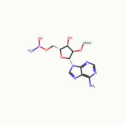 CCCCCO[C@@H]1[C@H](O)[C@@H](COP(N)O)O[C@H]1n1cnc2c(N)ncnc21